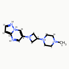 CN1CCN(C2CN(c3cnc4ccnn4c3)C2)CC1